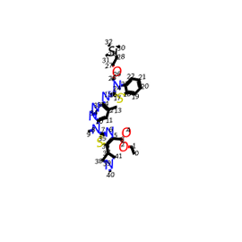 CCOC(=O)c1nc(N(C)c2cc(C)c(/N=c3\sc4ccccc4n3COCC[Si](C)(C)C)nn2)sc1C1CN(C)C1